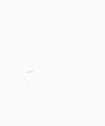 Nc1cc(Cl)ccc1OCCCCCCCC(=O)O